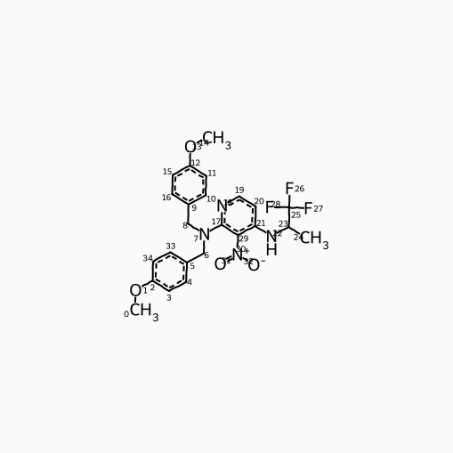 COc1ccc(CN(Cc2ccc(OC)cc2)c2nccc(NC(C)C(F)(F)F)c2[N+](=O)[O-])cc1